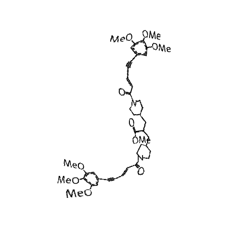 COC(=O)C(CC1CCN(C(=O)C=CC#Cc2cc(OC)c(OC)c(OC)c2)CC1)CC1CCN(C(=O)C=CC#Cc2cc(OC)c(OC)c(OC)c2)CC1